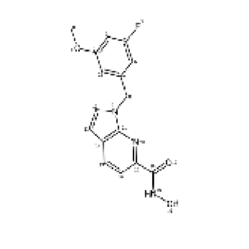 COc1cc(F)cc(Cn2ccc3ccc(C(=O)NO)nc32)c1